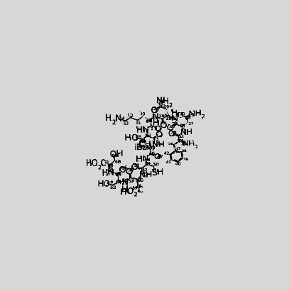 CC[C@H](C)[C@H](NC(=O)[C@@H](NC(=O)[C@H](CCCCN)NC(=O)[C@H](CC(N)=O)NC(=O)[C@H](CC(N)=O)NC(=O)[C@@H](N)Cc1ccccc1)[C@@H](C)O)C(=O)N[C@@H](CS)C(=O)N[C@@H](CC(=O)O)C(=O)N[C@@H](CO)C(=O)N[C@@H](CO)C(=O)O